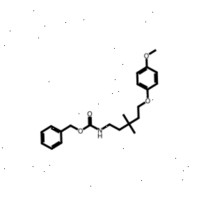 COc1ccc(OCCC(C)(C)CCNC(=O)OCc2ccccc2)cc1